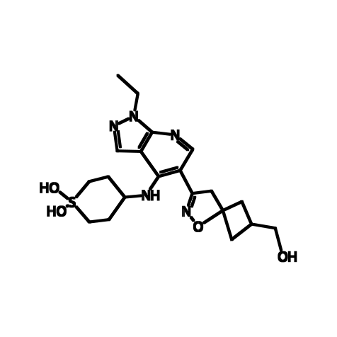 CCn1ncc2c(NC3CCS(O)(O)CC3)c(C3=NOC4(C3)CC(CO)C4)cnc21